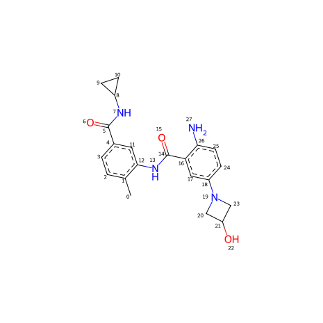 Cc1ccc(C(=O)NC2CC2)cc1NC(=O)c1cc(N2CC(O)C2)ccc1N